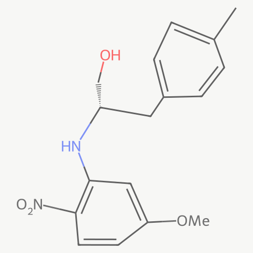 COc1ccc([N+](=O)[O-])c(N[C@H](CO)Cc2ccc(C)cc2)c1